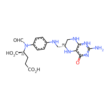 Nc1nc(=O)c2c([nH]1)NC[C@@H](CNc1ccc(N(C=O)[C@@H](CCC(=O)O)C(=O)O)cc1)N2